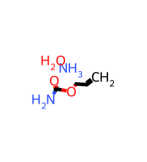 C=CCOC(N)=O.N.O